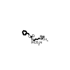 CS(=O)(=O)OCCCC(NC(=O)OCc1ccccc1)C(=O)O